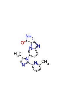 Cc1cccc(-c2ncc(C)n2-c2ccc3ncc(C(N)=O)n3c2)n1